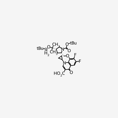 CC(C)(C)OC(=O)N1C[C@@H](C(C)(C)O[SiH2]C(C)(C)C)C[C@H]1COc1c(F)c(F)cc2c(=O)c(C(=O)O)cn(C3CC3)c12